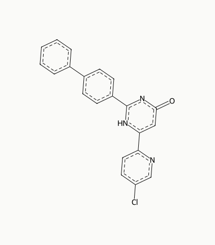 O=c1cc(-c2ccc(Cl)cn2)[nH]c(-c2ccc(-c3ccccc3)cc2)n1